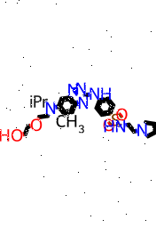 Cc1cc2nc(Nc3ccc(S(=O)(=O)NCCN4CCCC4)cc3)nnc2cc1N(CCOCCO)C(C)C